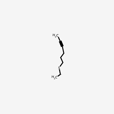 CC#CCCCS[CH]C